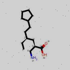 CC[C@@H](CCC1CCCC1)C[C@H](CN)C(=O)O